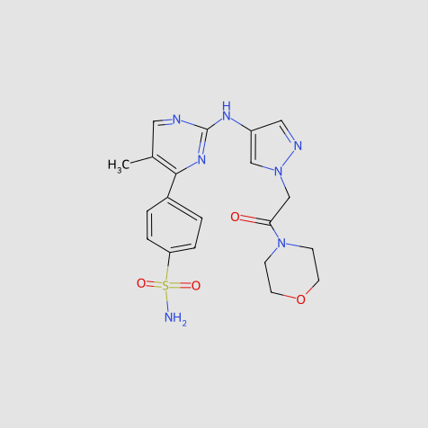 Cc1cnc(Nc2cnn(CC(=O)N3CCOCC3)c2)nc1-c1ccc(S(N)(=O)=O)cc1